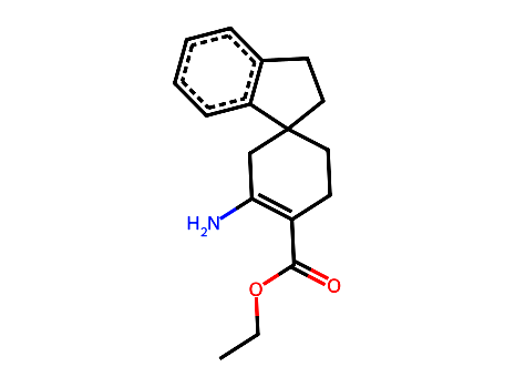 CCOC(=O)C1=C(N)CC2(CC1)CCc1ccccc12